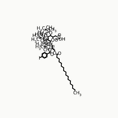 CCCCCCCCCCCCCCCCCC(=O)OCC(COC1OC(CS(=O)(=O)O)C(O[Si](C)(C)C(C)(C)C)C(O[Si](C)(C)C(C)(C)C)C1O[Si](C)(C)C(C)(C)C)OC(=O)c1ccc(I)cc1